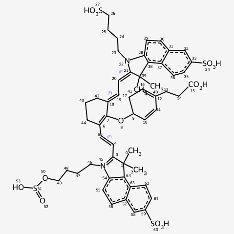 CC1(C)C(/C=C/C2=C(OC3C=CC(CCC(=O)O)=CC3)C(=C/C=C3/N(CCCCS(=O)(=O)O)c4ccc5cc(S(=O)(=O)O)ccc5c4C3(C)C)/CCC2)=[N+](CCCCOS(=O)O)c2ccc3cc(S(=O)(=O)O)ccc3c21